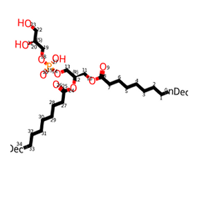 CCCCCCCCCCCCCCCCCC(=O)OC[C@H](COP(=O)(O)OC[C@@H](O)CO)OC(=O)CCCCCCCCCCCCCCCCC